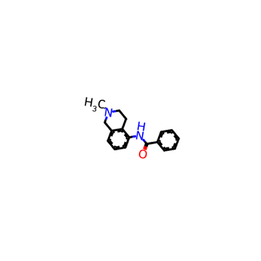 CN1CCc2c(cccc2NC(=O)c2ccccc2)C1